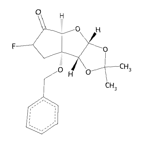 CC1(C)O[C@H]2O[C@@H]3C(=O)C(F)C[C@]3(OCc3ccccc3)[C@H]2O1